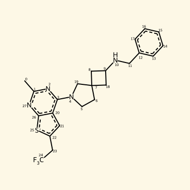 Cc1nc(N2CCC3(CC(NCc4ccccc4)C3)C2)c2cc(CC(F)(F)F)sc2n1